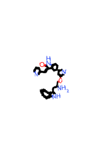 N[C@@H](COc1cncc(-c2ccc3c(c2)C(=Cc2cccnc2)C(=O)N3)c1)Cc1c[nH]c2ccccc12